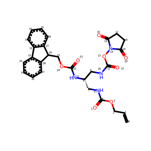 C=CCOC(=O)NC[C@@H](CNC(=O)ON1C(=O)CCC1=O)NC(=O)OCC1c2ccccc2-c2ccccc21